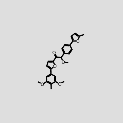 COc1cc(-c2ccc(C(=O)C(OC)c3ccc(-c4ccc(C)o4)cc3)o2)cc(OC)c1C